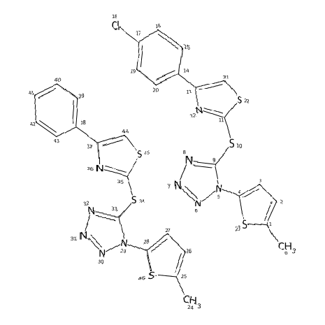 Cc1ccc(-n2nnnc2Sc2nc(-c3ccc(Cl)cc3)cs2)s1.Cc1ccc(-n2nnnc2Sc2nc(-c3ccccc3)cs2)s1